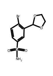 NS(=O)(=O)c1ccc(Br)c(C2OCCO2)c1